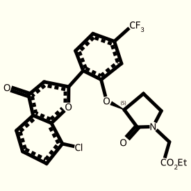 CCOC(=O)CN1CC[C@H](Oc2cc(C(F)(F)F)ccc2-c2cc(=O)c3cccc(Cl)c3o2)C1=O